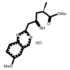 COC(=O)[C@H](C)CC(=N)Cc1ncc2cc(OC)ccc2n1.Cl